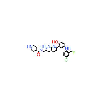 Nc1nc(-c2cc(Nc3ccc(Cl)cc3CF)ccc2O)ccc1CCCNC(=O)C1CCNCC1